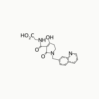 O=C(O)CNC(=O)C1=C(O)CCN(Cc2ccc3cccnc3c2)C1=O